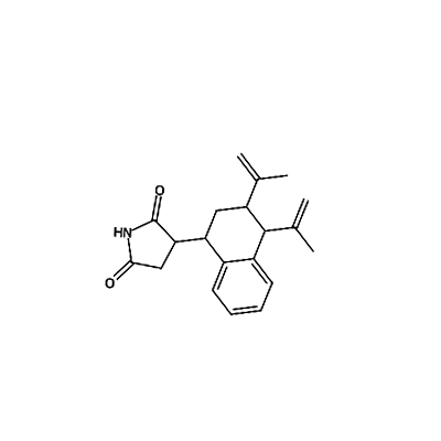 C=C(C)C1CC(C2CC(=O)NC2=O)c2ccccc2C1C(=C)C